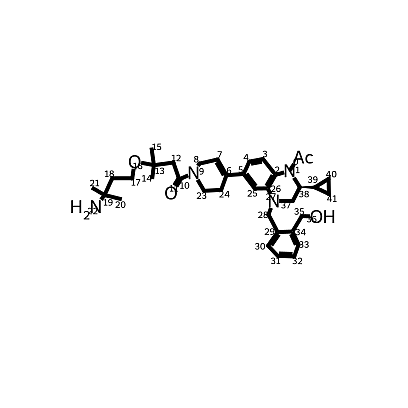 CC(=O)N1c2ccc(C3=CCN(C(=O)CC(C)(C)OCCC(C)(C)N)CC3)cc2N(Cc2ccccc2CO)C[C@@H]1C1CC1